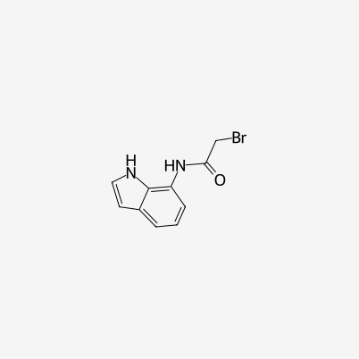 O=C(CBr)Nc1cccc2cc[nH]c12